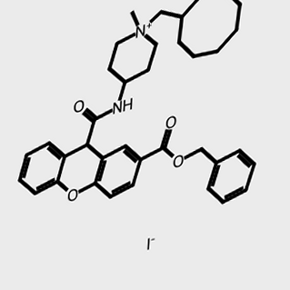 C[N+]1(CC2CCCCCCC2)CCC(NC(=O)C2c3ccccc3Oc3ccc(C(=O)OCc4ccccc4)cc32)CC1.[I-]